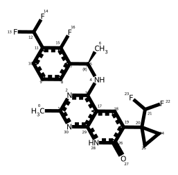 Cc1nc(N[C@H](C)c2cccc(C(F)F)c2F)c2cc(C3(C(F)F)CC3)c(=O)[nH]c2n1